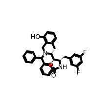 O=C1N[C@@H](Cc2cc(F)cc(F)c2)[C@@H]([C@H]2Cc3cccc(O)c3CN2C(c2ccccc2)c2ccccc2)O1